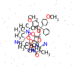 COc1ccc(C(OC[C@H]2O[C@@H](n3c(C#N)c(C)c(=O)[nH]c3=O)[C@@H](O[Si](C)(C)C(C)(C)C)[C@@H]2OP(OCCC#N)N(C(C)C)C(C)C)(c2ccccc2)c2ccc(OC)cc2)cc1